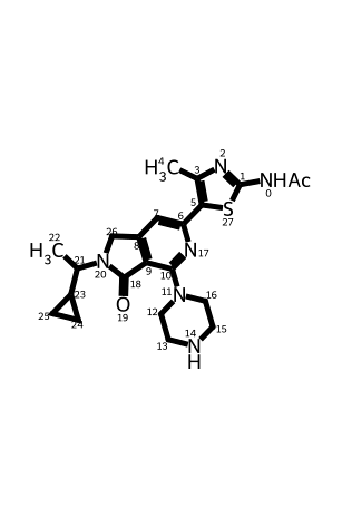 CC(=O)Nc1nc(C)c(-c2cc3c(c(N4CCNCC4)n2)C(=O)N(C(C)C2CC2)C3)s1